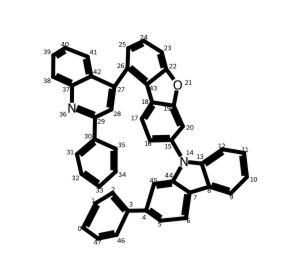 c1ccc(-c2ccc3c4ccccc4n(-c4ccc5c(c4)oc4cccc(-c6cc(-c7ccccc7)nc7ccccc67)c45)c3c2)cc1